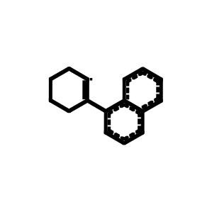 [C]1=C(c2cccc3ccccc23)CCCC1